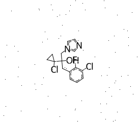 OC(Cc1cccc(Cl)c1F)(Cn1ccnc1)C1(Cl)CC1